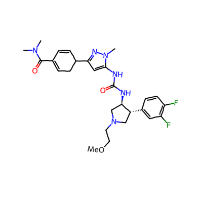 COCCN1C[C@@H](NC(=O)Nc2cc(C3C=CC(C(=O)N(C)C)=CC3)nn2C)[C@H](c2ccc(F)c(F)c2)C1